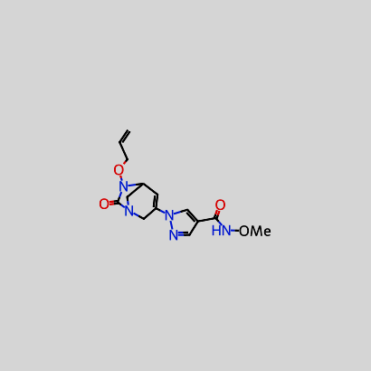 C=CCON1C(=O)N2CC(n3cc(C(=O)NOC)cn3)=CC1C2